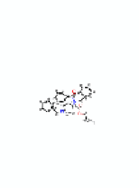 CCOC(=O)C1(N(Cc2ccccc2)C(=O)c2ccccc2)CCN(Cc2ccccc2)CC1